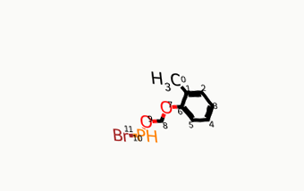 Cc1ccccc1OCOPBr